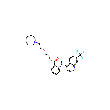 O=C(OCCOCCN1CCCCCC1)c1ccccc1Nc1ccnc2cc(C(F)(F)F)ccc12